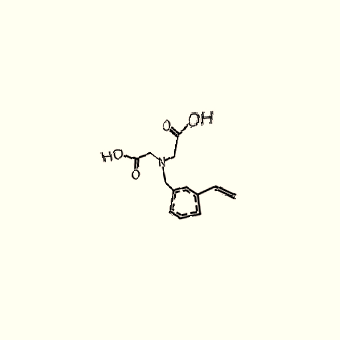 C=Cc1cccc(CN(CC(=O)O)CC(=O)O)c1